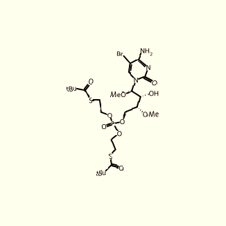 CO[C@H]([C@H](O)[C@@H](COP(=O)(OCCSC(=O)C(C)(C)C)OCCSC(=O)C(C)(C)C)OC)n1cc(Br)c(N)nc1=O